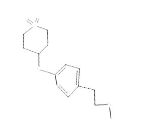 O=C(O)NCCc1ccc(NC2CCS(=O)(=O)CC2)cc1